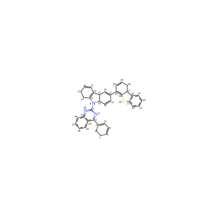 C1=CCCC(c2nc(N3C4=C(C=CCC4)C4C=C(C5=C6Sc7ccccc7C6CC=C5)C=CC43)nc3ccccc23)=C1